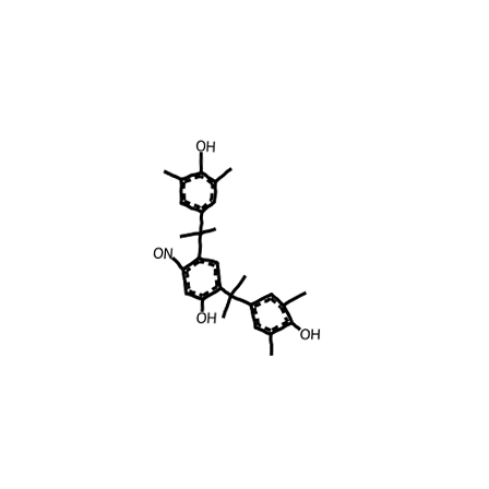 Cc1cc(C(C)(C)c2cc(C(C)(C)c3cc(C)c(O)c(C)c3)c(N=O)cc2O)cc(C)c1O